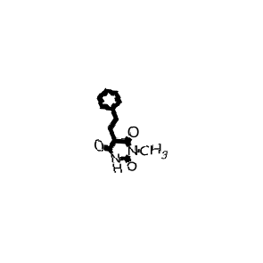 CN1C(=O)NC(=O)C(CCc2ccccc2)C1=O